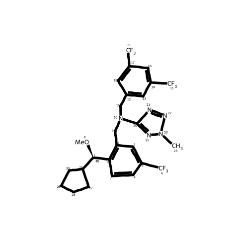 CO[C@@H](c1ccc(C(F)(F)F)cc1CN(Cc1cc(C(F)(F)F)cc(C(F)(F)F)c1)c1nnn(C)n1)C1CCCC1